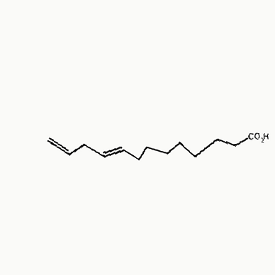 C=CCC=CCCCCCCCC(=O)O